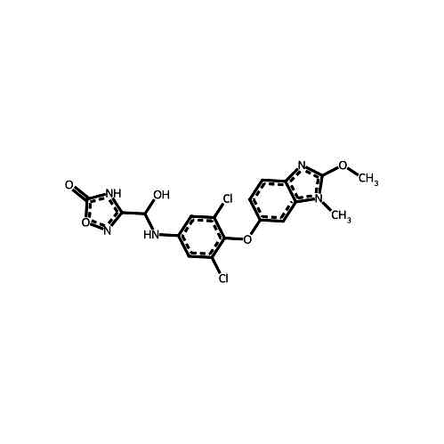 COc1nc2ccc(Oc3c(Cl)cc(NC(O)c4noc(=O)[nH]4)cc3Cl)cc2n1C